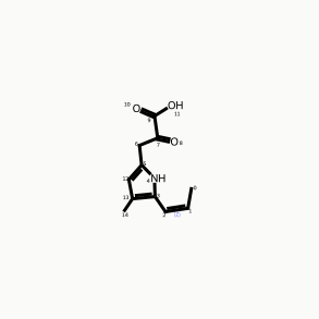 C/C=C\c1[nH]c(CC(=O)C(=O)O)cc1C